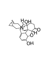 C=CC[N+]1(CC2CC2)CC[C@]23C4C5=CC=C(O)C4O[C@H]2C(=O)CC[C@@]3(O)[C@H]1C5